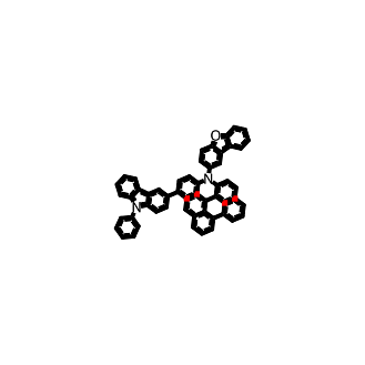 c1ccc(-c2cccc3cccc(-c4ccccc4N(c4ccc(-c5ccc6c(c5)c5ccccc5n6-c5ccccc5)cc4)c4ccc5oc6ccccc6c5c4)c23)cc1